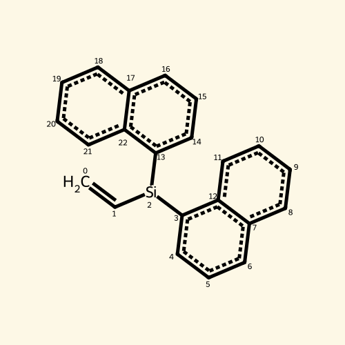 C=C[Si](c1cccc2ccccc12)c1cccc2ccccc12